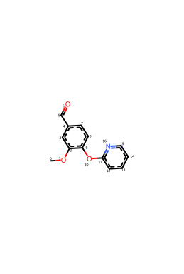 COc1cc(C=O)ccc1Oc1ccccn1